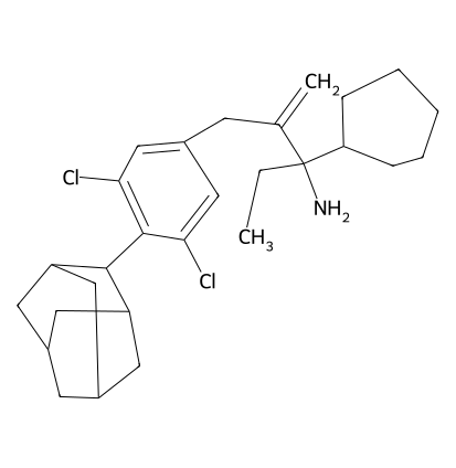 C=C(Cc1cc(Cl)c(C2C3CC4CC(C3)CC2C4)c(Cl)c1)C(N)(CC)C1CCCCC1